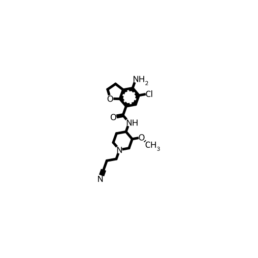 COC1CN(CCC#N)CCC1NC(=O)c1cc(Cl)c(N)c2c1OCC2